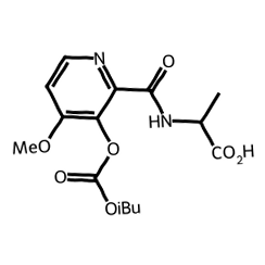 COc1ccnc(C(=O)NC(C)C(=O)O)c1OC(=O)OCC(C)C